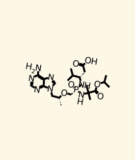 CC(C)OC(=O)C(C)(C)N[P@](=O)(CO[C@H](C)Cn1cnc2c(N)ncnc21)N[C@@H](CC(=O)O)C(C)C